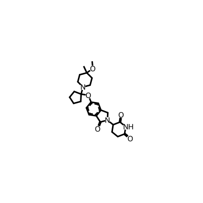 COC1(C)CCN(C2(Oc3ccc4c(c3)CN(C3CCC(=O)NC3=O)C4=O)CCCC2)CC1